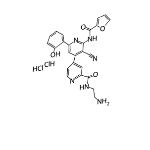 Cl.Cl.N#Cc1c(-c2ccnc(C(=O)NCCN)c2)cc(-c2ccccc2O)nc1NC(=O)c1ccco1